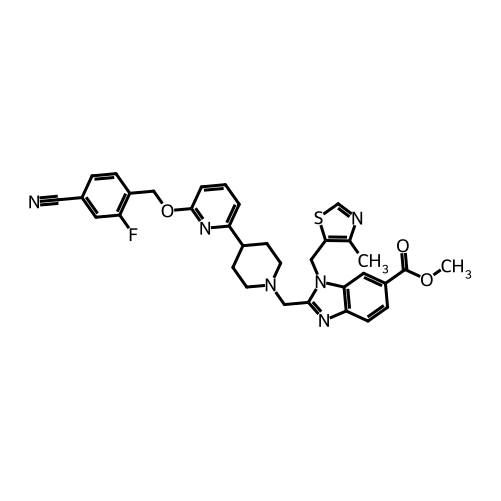 COC(=O)c1ccc2nc(CN3CCC(c4cccc(OCc5ccc(C#N)cc5F)n4)CC3)n(Cc3scnc3C)c2c1